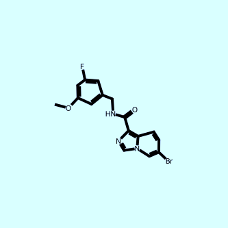 COc1cc(F)cc(CNC(=O)c2ncn3cc(Br)ccc23)c1